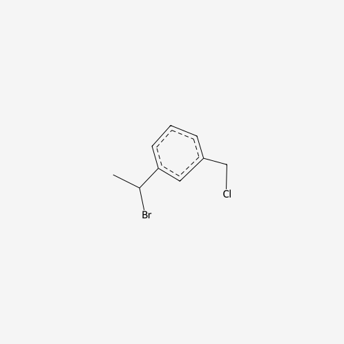 CC(Br)c1cccc(CCl)c1